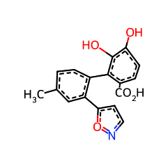 Cc1ccc(-c2c(C(=O)O)ccc(O)c2O)c(-c2ccno2)c1